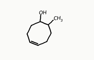 CC1CCC=CCCC1O